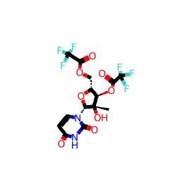 C[C@]1(O)[C@H](OC(=O)C(F)(F)F)[C@@H](COC(=O)C(F)(F)F)O[C@H]1n1ccc(=O)[nH]c1=O